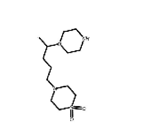 [CH2]C(CCCN1CCS(=O)(=O)CC1)N1CCNCC1